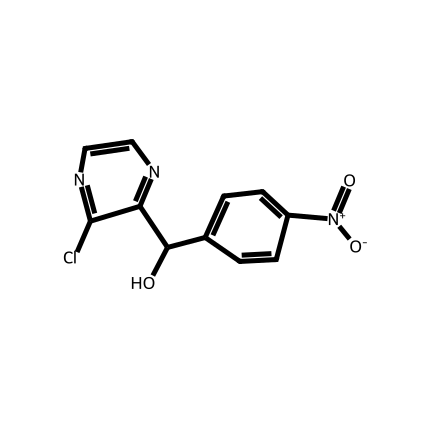 O=[N+]([O-])c1ccc(C(O)c2nccnc2Cl)cc1